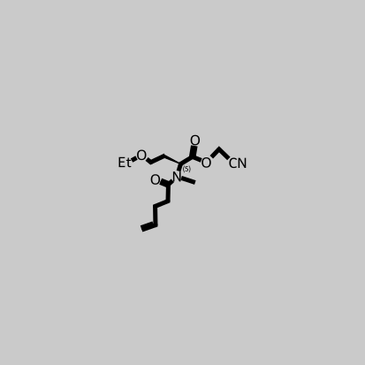 C=CCCC(=O)N(C)[C@@H](CCOCC)C(=O)OCC#N